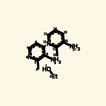 CCO.Cc1ncccc1N.Cc1ncccc1N